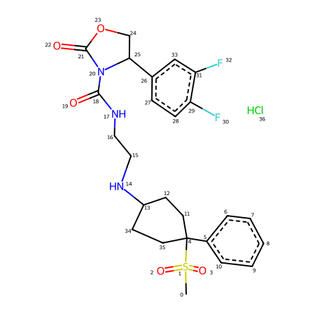 CS(=O)(=O)C1(c2ccccc2)CCC(NCCNC(=O)N2C(=O)OCC2c2ccc(F)c(F)c2)CC1.Cl